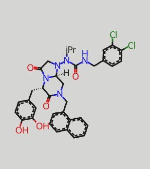 CC(C)N(C(=O)NCc1ccc(Cl)c(Cl)c1)N1CC(=O)N2[C@@H](Cc3ccc(O)c(O)c3)C(=O)N(Cc3cccc4ccccc34)C[C@@H]21